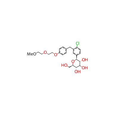 COCCOCCOc1ccc(Cc2cc([C@@H]3O[C@H](CO)[C@@H](O)C(O)[C@H]3O)ccc2Cl)cc1